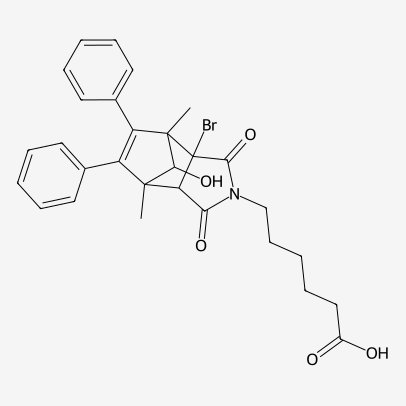 CC12C(c3ccccc3)=C(c3ccccc3)C(C)(C1O)C1(Br)C(=O)N(CCCCCC(=O)O)C(=O)C21